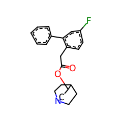 O=C(Cc1ccc(F)cc1-c1ccccc1)OC1CN2CCC1CC2